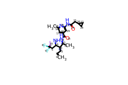 C=C/C=C(\C(N)CC(F)(F)I)C(C)NC(=O)c1cc(C)nc(NC(=O)CC2CC2)c1